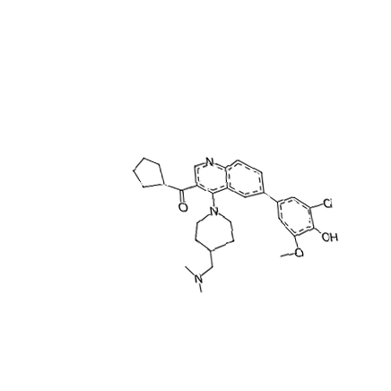 COc1cc(-c2ccc3ncc(C(=O)C4CCCC4)c(N4CCC(CN(C)C)CC4)c3c2)cc(Cl)c1O